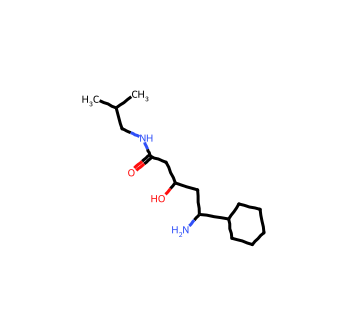 CC(C)CNC(=O)CC(O)CC(N)C1CCCCC1